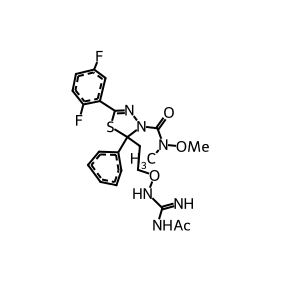 CON(C)C(=O)N1N=C(c2cc(F)ccc2F)SC1(CCONC(=N)NC(C)=O)c1ccccc1